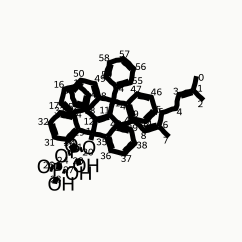 CC(C)=CCC/C(C)=C\CC/C(=C(/c1ccccc1)C(OP(=O)(O)OP(=O)(O)O)(c1ccccc1)c1ccccc1)C(c1ccccc1)(c1ccccc1)c1ccccc1